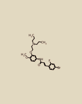 CCCN(CCC)CCOc1cc(NC(=O)C=Cc2ccc(Br)cc2F)ccc1OC